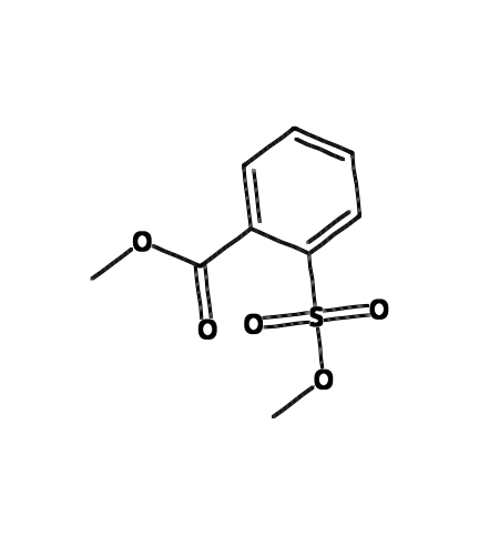 COC(=O)c1ccccc1S(=O)(=O)OC